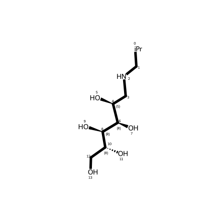 CC(C)CNC[C@H](O)[C@@H](O)[C@H](O)[C@H](O)CO